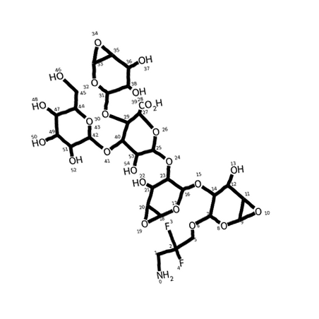 NCC(F)(F)COC1OC2OC2C(O)C1OC1OC2OC2C(O)C1OC1OC(C(=O)O)C(OC2OC3OC3C(O)C2O)C(OC2OC(CO)C(O)C(O)C2O)C1O